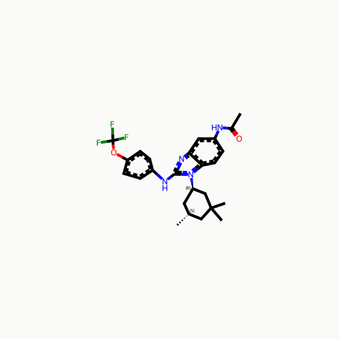 CC(=O)Nc1ccc2c(c1)nc(Nc1ccc(OC(F)(F)F)cc1)n2[C@@H]1C[C@@H](C)CC(C)(C)C1